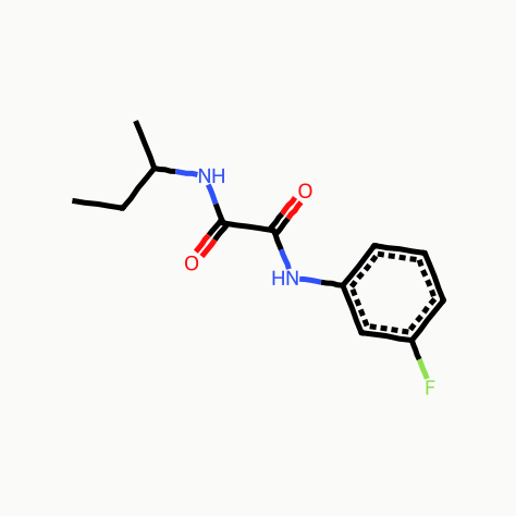 CCC(C)NC(=O)C(=O)Nc1cccc(F)c1